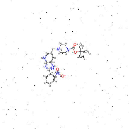 CC(C)(C)OC(=O)N1CCN(Cc2cnc3nc(-c4ccccc4[N+](=O)[O-])[nH]c3c2)CC1